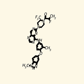 C=C(F)C(=O)N1CCN(c2ncc3ncnc(Nc4ccc(Oc5ccc6c(c5)nnn6C)c(C)c4)c3n2)C[C@@H]1C(F)(F)F